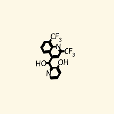 Oc1cccnc1C(O)c1cc(C(F)(F)F)nc2c(C(F)(F)F)cccc12